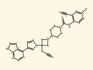 N#CCC1(n2cc(-c3ncnc4[nH]ccc34)cn2)CN(C2CCN(C(=O)Nc3ccc(Cl)cc3C#N)CC2)C1